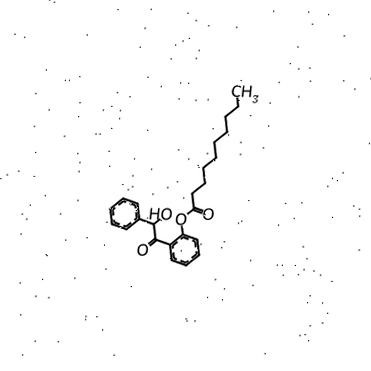 CCCCCCCCCC(=O)Oc1ccccc1C(=O)C(O)c1ccccc1